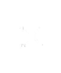 [NH]S(=O)(=O)Cl